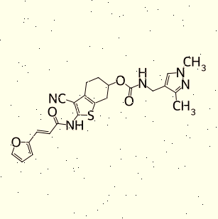 Cc1nn(C)cc1CNC(=O)OC1CCc2c(sc(NC(=O)C=Cc3ccco3)c2C#N)C1